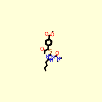 CCCCc1nc(SC(C(C)=O)c2ccc(C(=O)OC)cc2)n(C(=O)N(C)C)n1